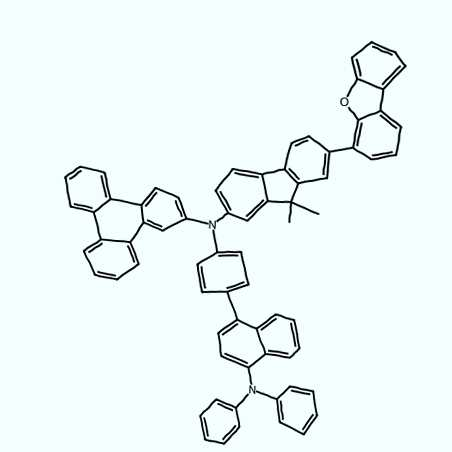 CC1(C)c2cc(-c3cccc4c3oc3ccccc34)ccc2-c2ccc(N(c3ccc(-c4ccc(N(c5ccccc5)c5ccccc5)c5ccccc45)cc3)c3ccc4c5ccccc5c5ccccc5c4c3)cc21